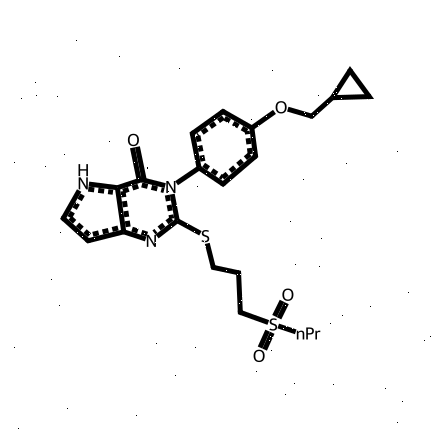 CCCS(=O)(=O)CCCSc1nc2cc[nH]c2c(=O)n1-c1ccc(OCC2CC2)cc1